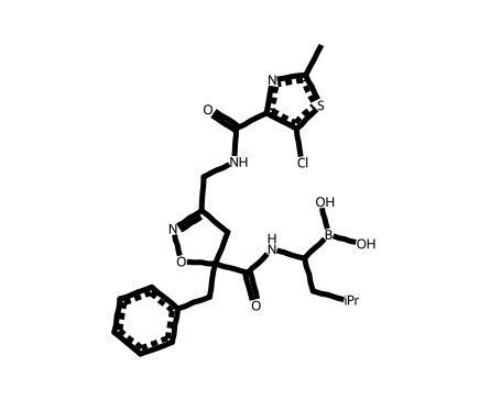 Cc1nc(C(=O)NCC2=NOC(Cc3ccccc3)(C(=O)NC(CC(C)C)B(O)O)C2)c(Cl)s1